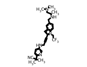 CC(CN(C)C)NCc1ccc2c(c1)cc(C#CCNc1ccc(C(C)(C)C#N)nc1)n2CC(F)(F)F